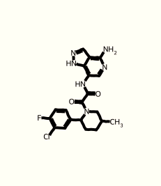 CC1CCC(c2ccc(F)c(Cl)c2)N(C(=O)C(=O)Nc2cnc(N)c3cn[nH]c23)C1